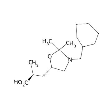 C[C@@H](C[C@H]1CN(CC2CCCCC2)C(C)(C)O1)C(=O)O